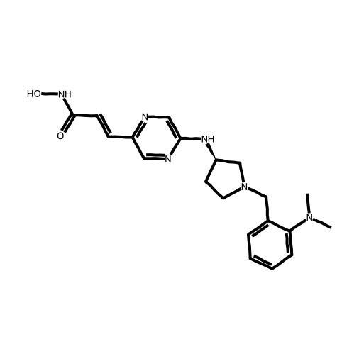 CN(C)c1ccccc1CN1CC[C@@H](Nc2cnc(C=CC(=O)NO)cn2)C1